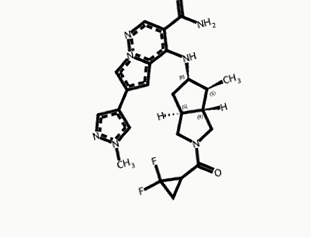 C[C@H]1[C@@H]2CN(C(=O)C3CC3(F)F)C[C@H]2C[C@H]1Nc1c(C(N)=O)cnn2cc(-c3cnn(C)c3)cc12